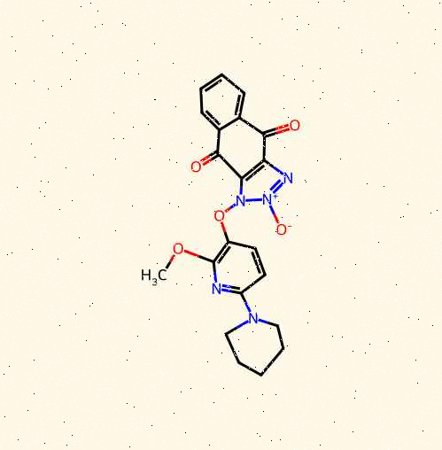 COc1nc(N2CCCCC2)ccc1On1c2c(n[n+]1[O-])C(=O)c1ccccc1C2=O